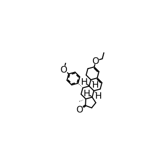 CCOC1=CC2=CC[C@@H]3[C@H]([C@@H](c4ccc(OC)cc4)C[C@]4(C)C(=O)CC[C@@H]34)[C@H]2CC1